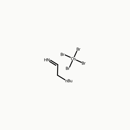 CCCCCC=N.[Br][Os]([Br])([Br])[Br]